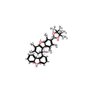 [2H]C1=C([2H])c2oc3c([2H])c(B4OC(C)(C)C(C)(C)O4)c([2H])c([2H])c3c2C([2H])(c2cccc3oc4ccccc4c23)C1